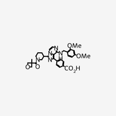 COc1ccc(CNc2nccn3c(C4CCCN(C(=O)C5(C)COC5)C4)nc(-c4ccc(C(=O)O)cc4)c23)c(OC)c1